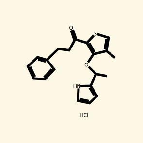 Cc1csc(C(=O)CCc2ccccc2)c1OC(C)c1ccc[nH]1.Cl